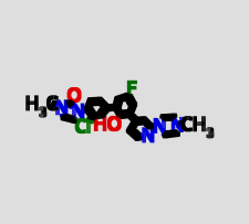 CN1CCN(c2cc(-c3cc(F)cc(-c4ccc(N5CCN(C)C5=O)c(Cl)c4)c3O)ccn2)CC1